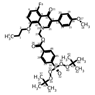 CCCOc1ccc(F)c2c(=O)c(-c3ccc(OC)cc3)cn(COC(=O)c3ccc(P(=O)(OOC(C)(C)C)OOC(C)(C)C)cc3)c12